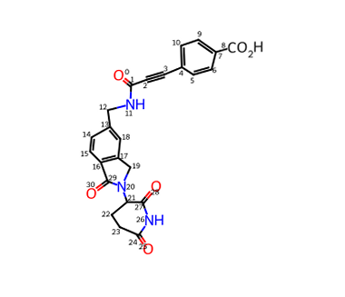 O=C(C#Cc1ccc(C(=O)O)cc1)NCc1ccc2c(c1)CN(C1CCC(=O)NC1=O)C2=O